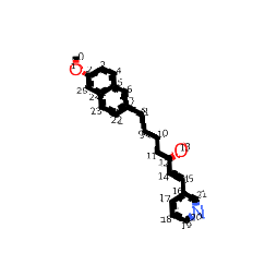 COc1ccc2cc(CCCCC(=O)C=Cc3cccnc3)ccc2c1